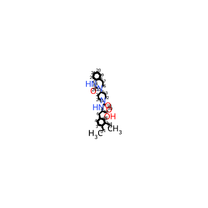 CCc1ccc(CC(NC(=O)N2CCC(N3CCc4ccccc4NC3=O)CC2)C(=O)O)cc1CC